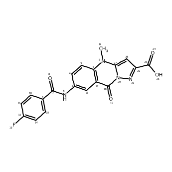 Cn1c2ccc(NC(=O)c3ccc(F)cc3)cc2c(=O)n2nc(C(=O)O)cc12